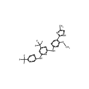 COc1cc(Nc2cc(C(F)(F)F)cc(Nc3ccc(C(F)(F)F)cc3)n2)ccc1-c1nc(C)c[nH]1